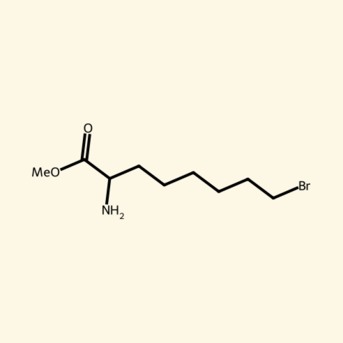 COC(=O)C(N)CCCCCCBr